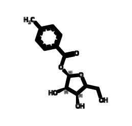 Cc1ccc(C(=O)O[C@H]2OC(CO)[C@@H](O)[C@H]2O)cc1